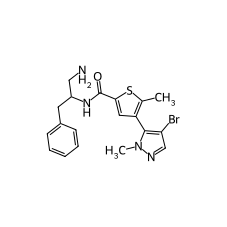 Cc1sc(C(=O)NC(CN)Cc2ccccc2)cc1-c1c(Br)cnn1C